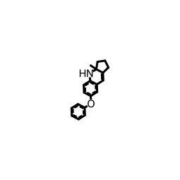 CC12CCCC1=Cc1cc(Oc3ccccc3)ccc1N2